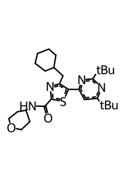 CC(C)(C)c1cc(-c2sc(C(=O)NC3CCOCC3)nc2CC2CCCCC2)nc(C(C)(C)C)n1